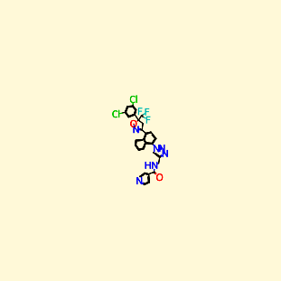 O=C(NCc1cn(-c2ccc(C3=NOC(c4cc(Cl)cc(Cl)c4)(C(F)(F)F)C3)c3ccccc23)nn1)c1ccncc1